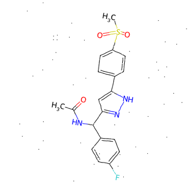 CC(=O)NC(c1ccc(F)cc1)c1cc(-c2ccc(S(C)(=O)=O)cc2)[nH]n1